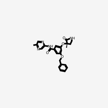 Cc1cnc(NC(=O)c2cc(OCc3ccccc3)cc(O[C@@]3(C)CCNC3=O)c2)cn1